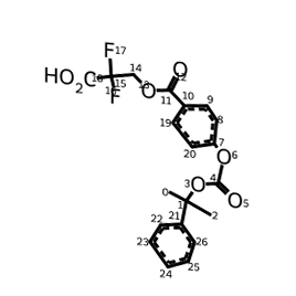 CC(C)(OC(=O)Oc1ccc(C(=O)OCC(F)(F)C(=O)O)cc1)c1ccccc1